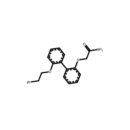 CC(C)CCOc1ccccc1-c1ccccc1OCC(N)=O